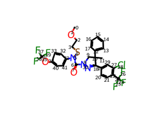 COCCSN(C(=O)N1CC(C)(c2ccccc2)C(c2ccc(C(F)(F)F)c(Cl)c2)=N1)c1ccc(OC(F)(F)F)cc1